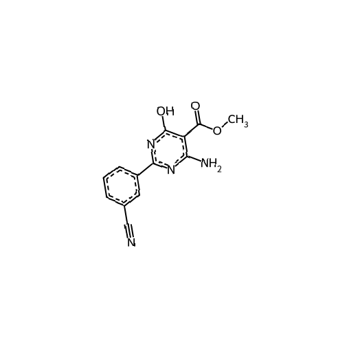 COC(=O)c1c(N)nc(-c2cccc(C#N)c2)nc1O